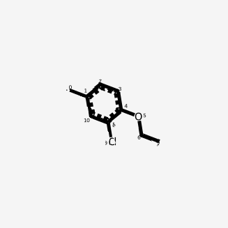 [CH2]c1ccc(OCC)c(Cl)c1